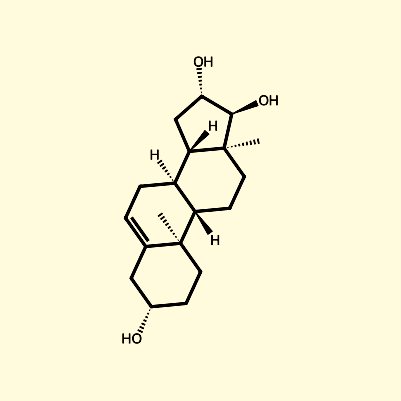 C[C@]12CC[C@H]3[C@@H](CC=C4C[C@@H](O)CC[C@@]43C)[C@@H]1C[C@H](O)[C@H]2O